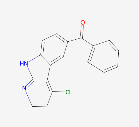 O=C(c1ccccc1)c1ccc2[nH]c3nccc(Cl)c3c2c1